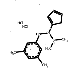 Cc1cc(C)cc([NH][Zr]([C]2=CC=CC2)[SiH](C)C)c1.Cl.Cl